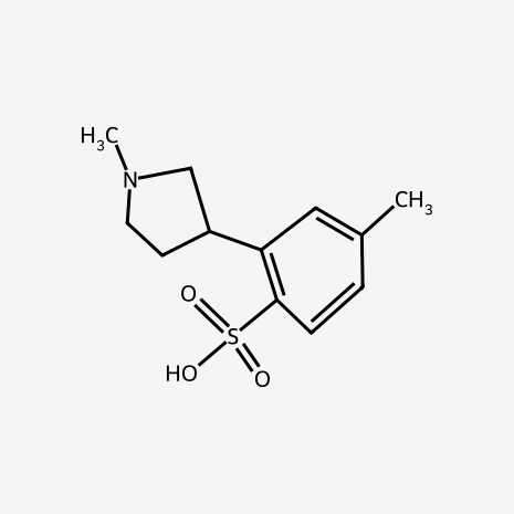 Cc1ccc(S(=O)(=O)O)c(C2CCN(C)C2)c1